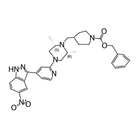 C[C@@H]1CN(c2cc(-c3n[nH]c4ccc([N+](=O)[O-])cc34)ccn2)C[C@H](C)N1CC1CCN(C(=O)OCc2ccccc2)CC1